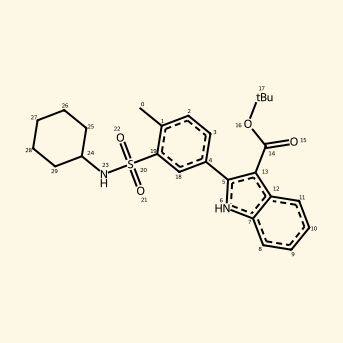 Cc1ccc(-c2[nH]c3ccccc3c2C(=O)OC(C)(C)C)cc1S(=O)(=O)NC1CCCCC1